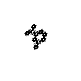 c1ccc(-c2nc(-c3cccc(-c4cccc(-c5cccc(-c6cccc(-c7nc(-c8ccccc8)c8oc9ccccc9c8n7)n6)c5)c4)c3)nc3c2oc2ccccc23)cc1